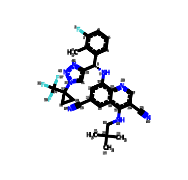 Cc1c(F)cccc1[C@H](Nc1cc(C#N)cc2c(NCC(C)(C)C)c(C#N)cnc12)c1cn(C2(C(F)(F)F)CC2)nn1